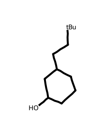 CC(C)(C)CCC1CCCC(O)C1